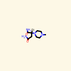 CCC(CC(N)=O)(C(N)=O)N1CCN(C)CC1